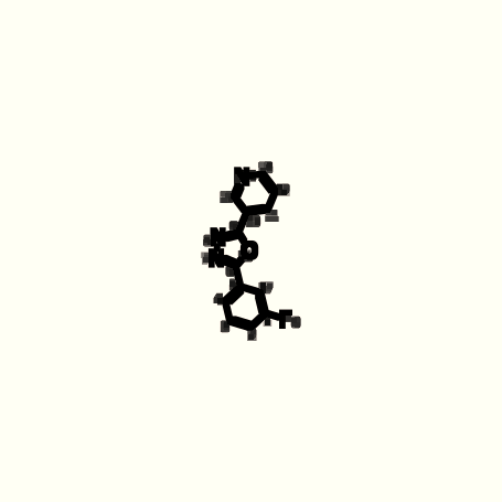 Fc1cccc(-c2nnc(-c3cccnc3)o2)c1